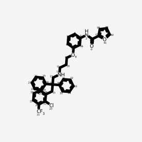 O=C(Nc1cccc(OCCCNCC(Cc2cccc(C(F)(F)F)c2Cl)(c2ccccc2)c2ccccc2)c1)c1ccco1